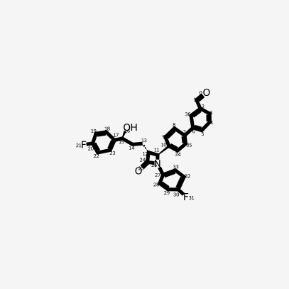 O=Cc1cccc(-c2ccc([C@@H]3[C@@H](CC[C@H](O)c4ccc(F)cc4)C(=O)N3c3ccc(F)cc3)cc2)c1